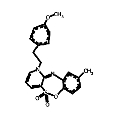 COc1ccc(CCN2C=CC=C3C2=Nc2cc(C)ccc2OS3(=O)=O)cc1